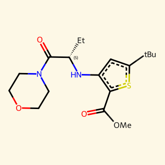 CC[C@H](Nc1cc(C(C)(C)C)sc1C(=O)OC)C(=O)N1CCOCC1